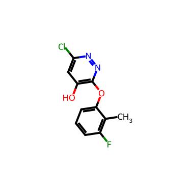 Cc1c(F)cccc1Oc1nnc(Cl)cc1O